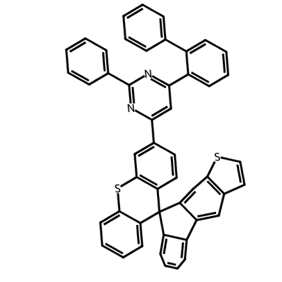 c1ccc(-c2nc(-c3ccc4c(c3)Sc3ccccc3C43c4ccccc4-c4cc5ccsc5cc43)cc(-c3ccccc3-c3ccccc3)n2)cc1